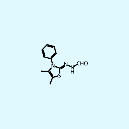 Cc1sc(=NNC=O)n(-c2ccccc2)c1C